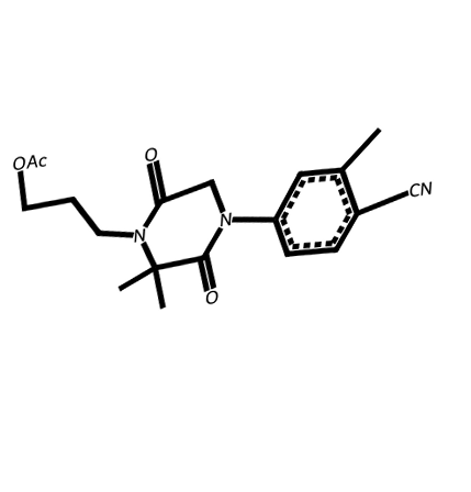 CC(=O)OCCCN1C(=O)CN(c2ccc(C#N)c(C)c2)C(=O)C1(C)C